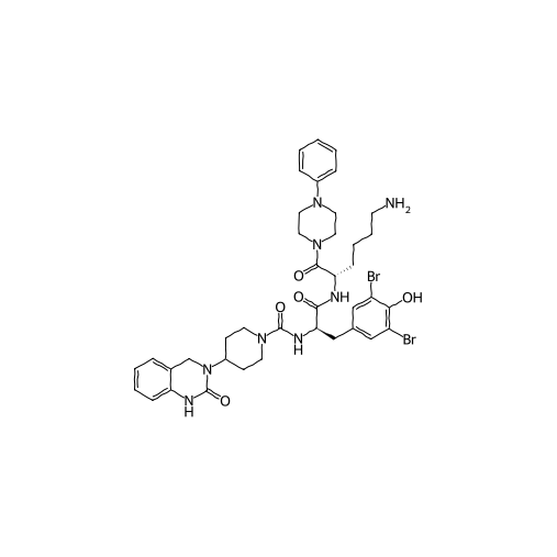 NCCCC[C@H](NC(=O)[C@@H](Cc1cc(Br)c(O)c(Br)c1)NC(=O)N1CCC(N2Cc3ccccc3NC2=O)CC1)C(=O)N1CCN(c2ccccc2)CC1